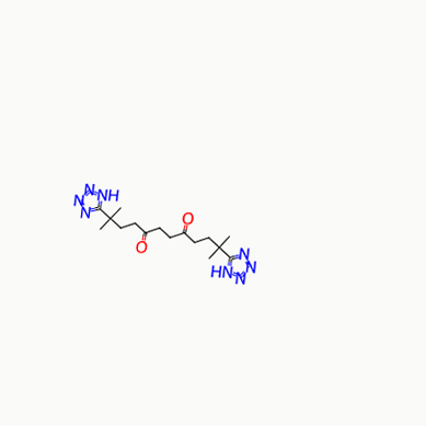 CC(C)(CCC(=O)CCC(=O)CCC(C)(C)c1nnn[nH]1)c1nnn[nH]1